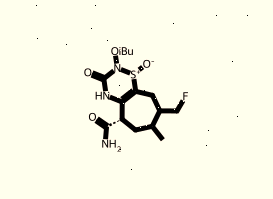 CC(C)CON1C(=O)NC2=C(CC(CF)C(C)C[C@@H]2C(N)=O)[S+]1[O-]